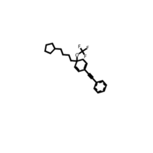 FC(F)(F)OC1(CCCCC2CCCC2)C=CC(C#Cc2ccccc2)=CC1